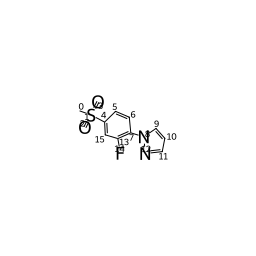 CS(=O)(=O)c1ccc(-n2cccn2)c(F)c1